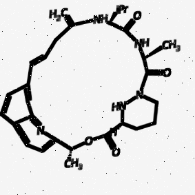 C=C1C/C=C/c2ccc3ccc(nc3c2)[C@@H](C)OC(=O)[C@@H]2CCCN(N2)C(=O)[C@H](C)NC(=O)[C@H](C(C)C)N1